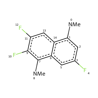 CNc1cc(F)cc2c(NC)c(F)c(F)cc12